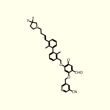 Cc1c(/C=C/CCN2CCC(F)(F)C2)cccc1-c1cccc(COc2cc(OCc3cncc(C#N)c3)c(C=O)cc2Cl)c1C